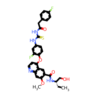 CC[C@@H](CO)NC(=O)c1cc2c(Oc3ccc(NC(=S)NC(=O)Cc4ccc(F)cc4)cc3F)ccnc2cc1OC